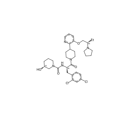 CC[C@H](COc1cccnc1C1CCN(C(=O)[C@@H](Cc2ccc(Cl)cc2Cl)NC(=O)N2CCC[C@H](O)C2)CC1)N1CCCC1